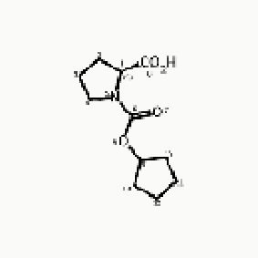 O=C(O)[C@@H]1CCCN1C(=O)OC1CCCC1